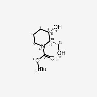 CC(C)(C)OC(=O)N1CCC[C@H](O)[C@@H]1CO